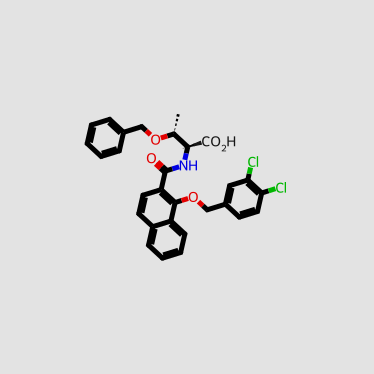 C[C@@H](OCc1ccccc1)[C@H](NC(=O)c1ccc2ccccc2c1OCc1ccc(Cl)c(Cl)c1)C(=O)O